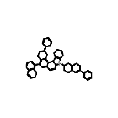 C1=CCC(C2CCc3c(-c4cccc5c4CCC=C5)cc4c(c3C2)C2C3=C(C=CCC3)N(C3CCC5=C(CCC(c6ccccc6)=C5)C3)C2C=C4)C=C1